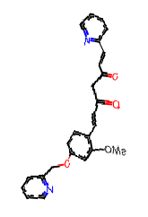 COc1cc(OCc2ccccn2)ccc1C=CC(=O)CC(=O)C=Cc1ccccn1